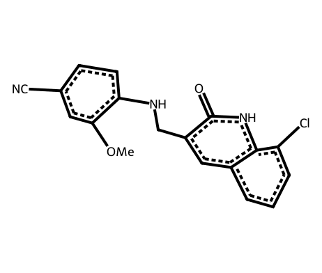 COc1cc(C#N)ccc1NCc1cc2cccc(Cl)c2[nH]c1=O